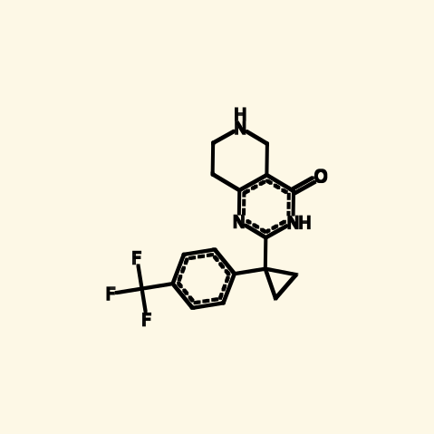 O=c1[nH]c(C2(c3ccc(C(F)(F)F)cc3)CC2)nc2c1CNCC2